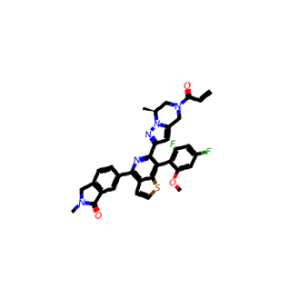 C=CC(=O)N1Cc2cc(-c3nc(-c4ccc5c(c4)C(=O)N(C)C5)c4ccsc4c3-c3c(F)cc(F)cc3OC)nn2[C@@H](C)C1